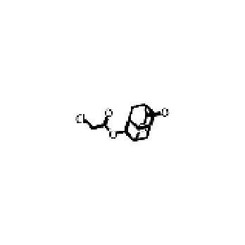 O=C(CCl)OC1C2CC3CC(C2)C(=O)OC1C3